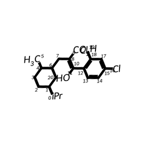 CC(C)C1CCC(C)C(CC(C(=O)O)=C(O)c2ccc(Cl)cc2Cl)C1